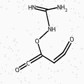 N=C(N)NOC(=C=O)C=C=O